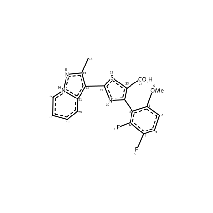 COc1ccc(F)c(F)c1-c1nc(-c2c(C)nn3ccccc23)sc1C(=O)O